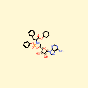 CC(OP(=O)(NC(Cc1ccccc1)C(=O)OC1CCCCC1)Oc1ccccc1)[C@H]1O[C@@H](n2cnc3c(N)ncnc32)[C@H](O)[C@@H]1O